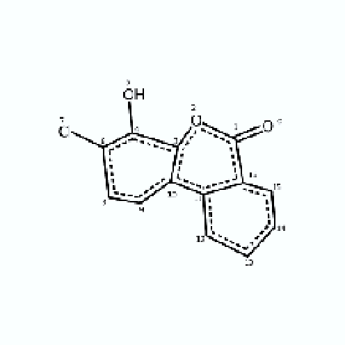 O=c1oc2c(O)c(Cl)ccc2c2ccccc12